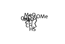 C=C[Si](Cl)(Cl)Cl.CO[Si](CCCS)(OC)OC